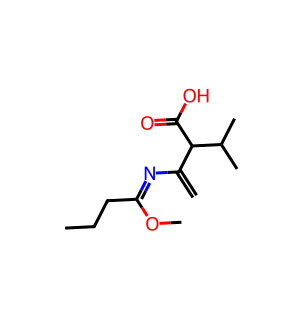 C=C(/N=C(/CCC)OC)C(C(=O)O)C(C)C